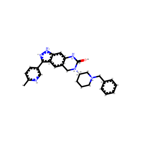 Cc1ccc(-c2n[nH]c3cc4c(cc23)CN([C@H]2CCCN(Cc3ccccc3)C2)C(=O)N4)cn1